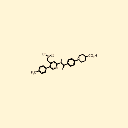 CCN(CC)Cc1cc(NC(=O)c2ccc(N3CCC(C(=O)O)CC3)cc2)ncc1-c1ccc(C(F)(F)F)cc1